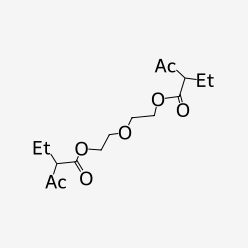 CCC(C(C)=O)C(=O)OCCOCCOC(=O)C(CC)C(C)=O